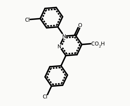 O=C(O)c1cc(-c2ccc(Cl)cc2)nn(-c2cccc(Cl)c2)c1=O